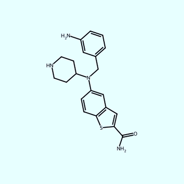 NC(=O)c1cc2cc(N(Cc3cccc(N)c3)C3CCNCC3)ccc2s1